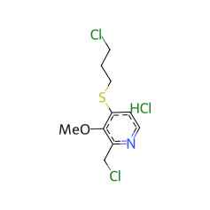 COc1c(SCCCCl)ccnc1CCl.Cl